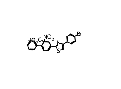 O=C(O)C1([N+](=O)[O-])CC(c2nc(-c3ccc(Br)cc3)cs2)=CC=C1c1ccccc1